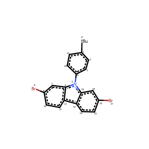 CC(C)(C)c1ccc(-n2c3cc(Br)ccc3c3ccc(Br)cc32)cc1